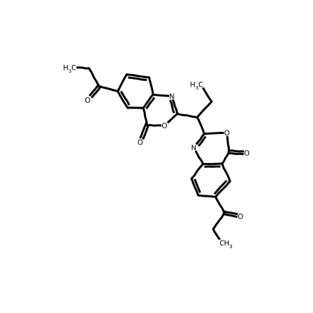 CCC(=O)c1ccc2nc(C(CC)c3nc4ccc(C(=O)CC)cc4c(=O)o3)oc(=O)c2c1